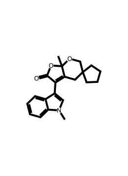 Cn1cc(C2=C3CC4(CCCC4)COC3(C)OC2=O)c2ccccc21